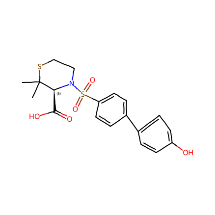 CC1(C)SCCN(S(=O)(=O)c2ccc(-c3ccc(O)cc3)cc2)[C@H]1C(=O)O